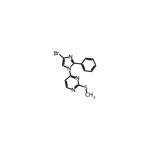 CSc1nccc(-n2cc(Br)nc2-c2ccccc2)n1